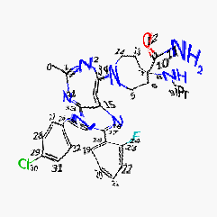 Cc1nc(N2CCC(NC(C)C)(C(N)=O)CC2)c2nc(-c3ccccc3F)n(-c3ccc(Cl)cc3)c2n1